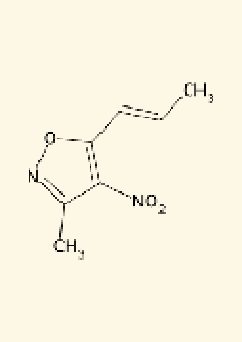 CC=Cc1onc(C)c1[N+](=O)[O-]